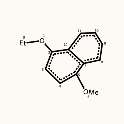 CCOc1ccc(OC)c2ccccc12